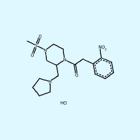 CS(=O)(=O)N1CCN(C(=O)Cc2ccccc2[N+](=O)[O-])C(CN2CCCC2)C1.Cl